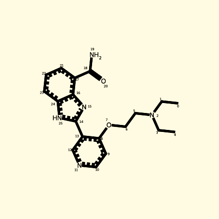 CCN(CC)CCOc1ccncc1-c1nc2c(C(N)=O)cccc2[nH]1